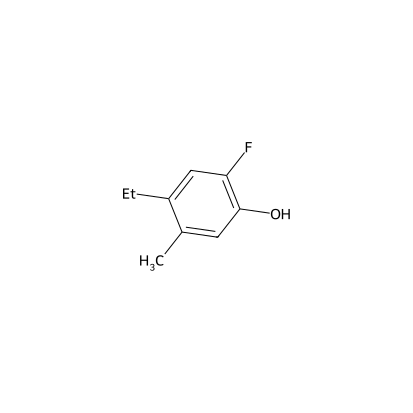 CCc1cc(F)c(O)cc1C